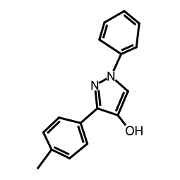 Cc1ccc(-c2nn(-c3ccccc3)cc2O)cc1